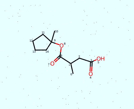 CC(CC(=O)O)C(=O)OC1(C)CCCC1